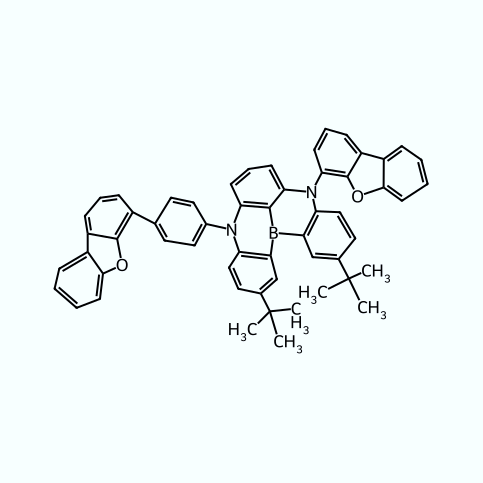 CC(C)(C)c1ccc2c(c1)B1c3cc(C(C)(C)C)ccc3N(c3cccc4c3oc3ccccc34)c3cccc(c31)N2c1ccc(-c2cccc3c2oc2ccccc23)cc1